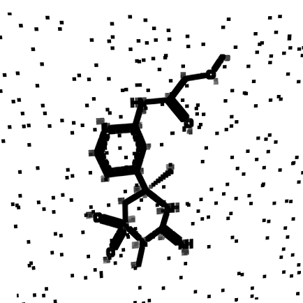 COCC(=O)Nc1cc([C@]2(C)CS(=O)(=O)N(C)C(=N)N2)ccn1